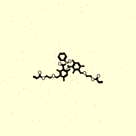 C=CC(=O)OCCOCc1c(C)cc(C)c(C(=O)P(=O)(C(=O)c2c(C)cc(C)c(COCCOC(=O)C=C)c2C)c2ccccc2)c1C